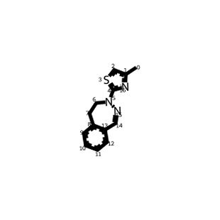 Cc1csc(N2CCc3ccccc3C=N2)n1